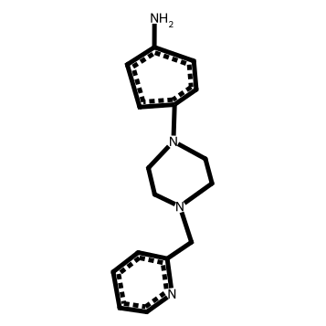 Nc1ccc(N2CCN(Cc3ccccn3)CC2)cc1